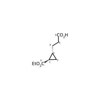 CCOC(=O)[C@@H]1C[C@H]1CCC(=O)O